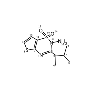 CC(C)C(C)C1=Nc2sccc2S(=O)(=O)N1N